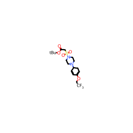 CC(C)(C)OC(=O)CS(=O)(=O)N1CCN(C2C=CC(OCC(F)(F)F)=CC2)CC1